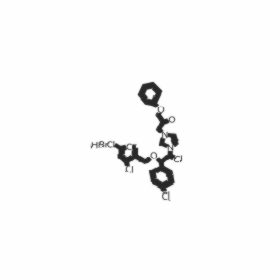 Br.O=C(COc1ccccc1)CN1C=CN(C(Cl)C(OCc2ccc(Cl)cc2Cl)c2ccc(Cl)cc2)C1